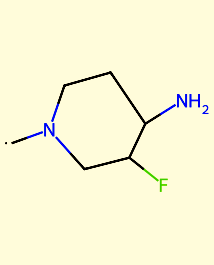 [CH2]N1CCC(N)C(F)C1